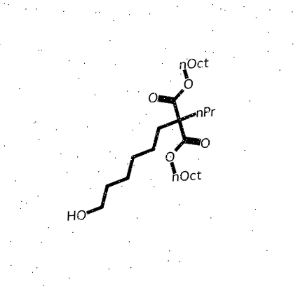 CCCCCCCCOC(=O)C(CCC)(CCCCCCO)C(=O)OCCCCCCCC